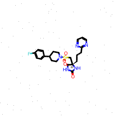 O=C1NC(=O)[C@](CCCc2ncccn2)(CS(=O)(=O)N2CCC(c3ccc(F)cc3)CC2)N1